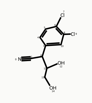 N#CC(c1ccc(Cl)c(Cl)c1)C(O)CO